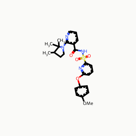 COc1ccc(Oc2cccc(S(=O)(=O)NC(=O)c3cccnc3N3CCC(C)C3(C)C)n2)cc1